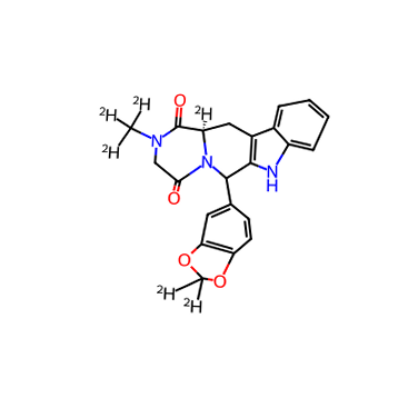 [2H]C1([2H])Oc2ccc(C3c4[nH]c5ccccc5c4C[C@]4([2H])C(=O)N(C([2H])([2H])[2H])CC(=O)N34)cc2O1